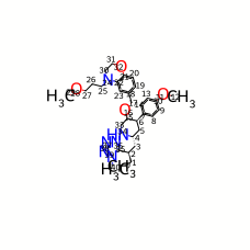 CC[C@H](C[C@H]1C[C@H](c2ccc(OC)cc2)[C@@H](OCc2ccc3c(c2)N(CCCOC)CCO3)CN1)c1nnnn1C